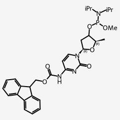 COP(OC1C[C@H](n2ccc(NC(=O)OCC3c4ccccc4-c4ccccc43)nc2=O)O[C@@H]1C)N(C(C)C)C(C)C